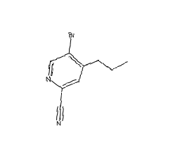 CCCc1cc(C#N)ncc1Br